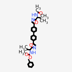 CC(=O)N[C@H](c1ncc(-c2ccc(-c3ccc(-c4cnc([C@@H](NC(=O)OCc5ccccc5)C(C)C)o4)cc3)cc2)o1)C(C)C